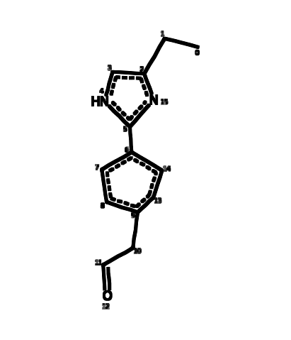 CCc1c[nH]c(-c2ccc(CC=O)cc2)n1